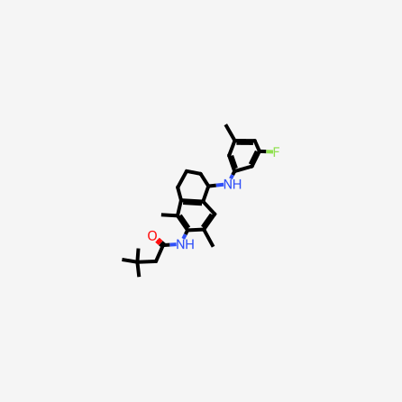 Cc1cc(F)cc(NC2CCCc3c2cc(C)c(NC(=O)CC(C)(C)C)c3C)c1